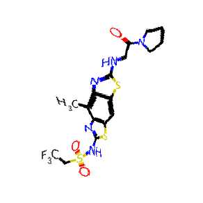 Cc1c2nc(NCC(=O)N3CCCC3)sc2cc2sc(NS(=O)(=O)CC(F)(F)F)nc12